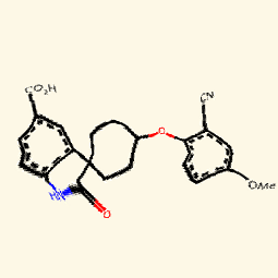 COc1ccc(OC2CCC3(CC2)C(=O)Nc2ccc(C(=O)O)cc23)c(C#N)c1